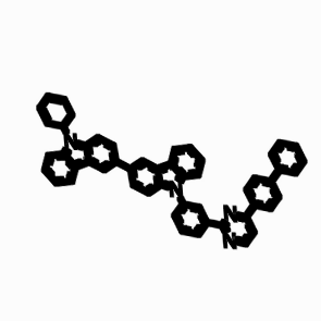 C1=CCC(n2c3ccccc3c3cc(-c4ccc5c(c4)c4ccccc4n5-c4cccc(-c5nccc(-c6ccc(-c7ccccc7)cc6)n5)c4)ccc32)C=C1